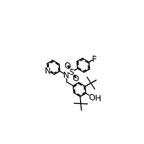 CC(C)(C)c1cc(CN(c2cccnc2)S(=O)(=O)c2ccc(F)cc2)cc(C(C)(C)C)c1O